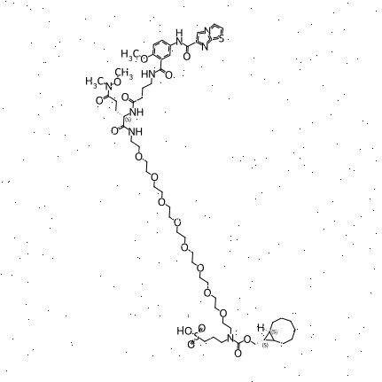 COc1ccc(NC(=O)c2cn3ccsc3n2)cc1C(=O)NCCCC(=O)N[C@@H](CCC(=O)N(C)OC)C(=O)NCCOCCOCCOCCOCCOCCOCCOCCOCCN(CCCS(=O)(=O)O)C(=O)OC[C@H]1C2CCCCCC[C@@H]21